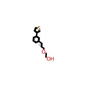 OCCOC/C=C/c1cccc(-c2ccsc2)c1